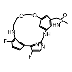 CS(=N)(=O)Cc1cc2cc(c1)OCCCCNc1cc(ccc1F)-c1nc(ncc1F)N2